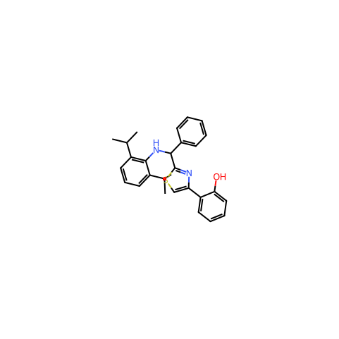 CC(C)c1cccc(C(C)C)c1NC(c1ccccc1)c1nc(-c2ccccc2O)cs1